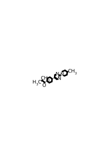 CC1CCN(c2ncc([C@H]3CC[C@@H](C(=O)C(C)C)CC3)cn2)CC1